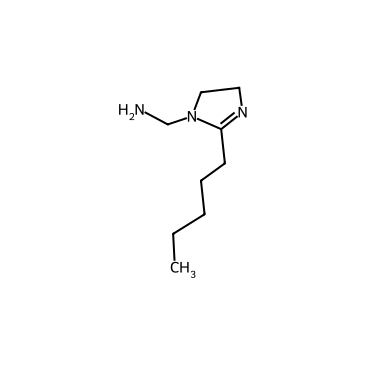 CCCCCC1=NCCN1CN